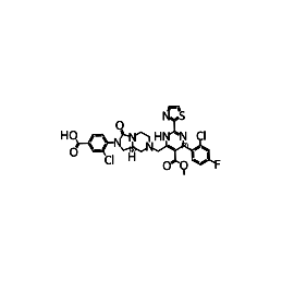 COC(=O)C1=C(CN2CCN3C(=O)N(c4ccc(C(=O)O)cc4Cl)C[C@@H]3C2)NC(c2nccs2)=N[C@H]1c1ccc(F)cc1Cl